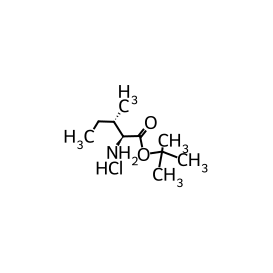 CC[C@H](C)[C@H](N)C(=O)OC(C)(C)C.Cl